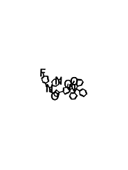 CN1CCC(N(Cc2ccc(F)cc2)Cc2cc(-c3ccc4c(c3)oc(=O)n4C(c3ccccc3)(c3ccccc3)c3ccccc3)co2)CC1